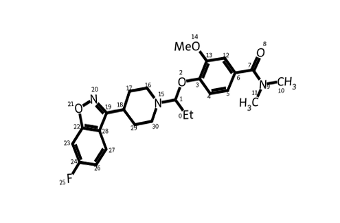 CCC(Oc1ccc(C(=O)N(C)C)cc1OC)N1CCC(c2noc3cc(F)ccc23)CC1